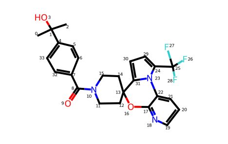 CC(C)(O)c1ccc(C(=O)N2CCC3(CC2)Oc2ncccc2-n2c(C(F)(F)F)ccc23)cc1